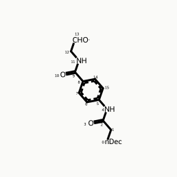 CCCCCCCCCCCC(=O)Nc1ccc(C(=O)NC[C]=O)cc1